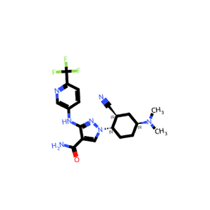 CN(C)[C@H]1CC[C@H](n2cc(C(N)=O)c(Nc3ccc(C(F)(F)F)nc3)n2)[C@@H](C#N)C1